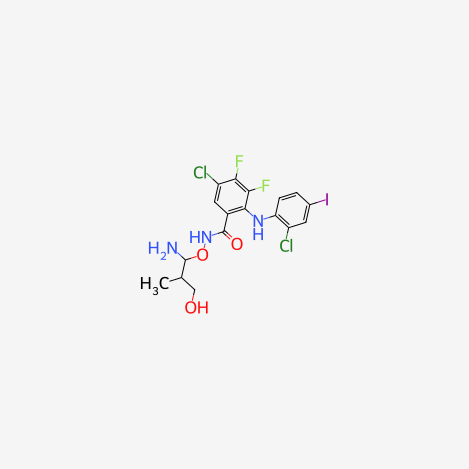 CC(CO)C(N)ONC(=O)c1cc(Cl)c(F)c(F)c1Nc1ccc(I)cc1Cl